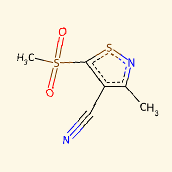 Cc1nsc(S(C)(=O)=O)c1C#N